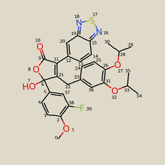 COc1ccc(C2(O)OC(=O)C(c3ccc4nsnc4c3)=C2Cc2ccc(OC(C)C)c(OC(C)C)c2)cc1F